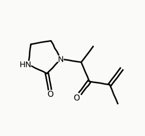 C=C(C)C(=O)C(C)N1CCNC1=O